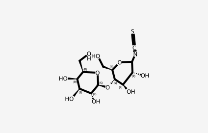 OC[C@H]1O[C@@H](O[C@H]2[C@H](O)[C@@H](O)C(N=C=S)O[C@@H]2CO)[C@H](O)[C@@H](O)[C@H]1O